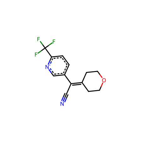 N#CC(=C1CCOCC1)c1ccc(C(F)(F)F)nc1